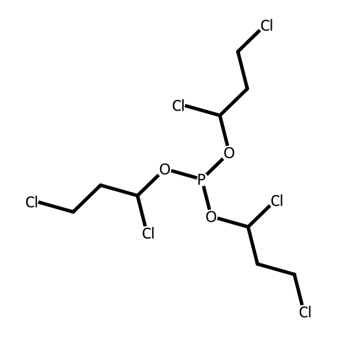 ClCCC(Cl)OP(OC(Cl)CCCl)OC(Cl)CCCl